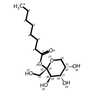 CCCCCCCC(=O)O[C@]1(CO)OC[C@H](O)[C@H](O)[C@H]1O